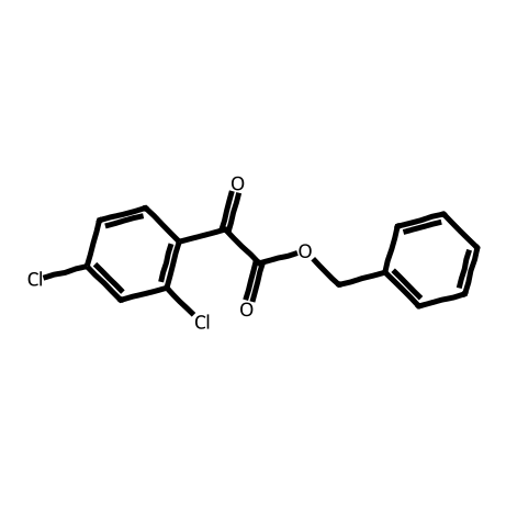 O=C(OCc1ccccc1)C(=O)c1ccc(Cl)cc1Cl